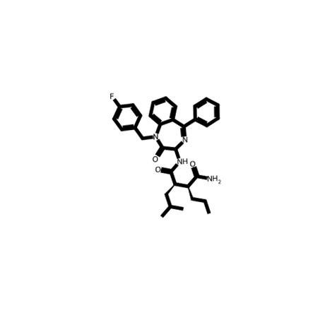 CCC[C@H](C(N)=O)[C@@H](CC(C)C)C(=O)NC1N=C(c2ccccc2)c2ccccc2N(Cc2ccc(F)cc2)C1=O